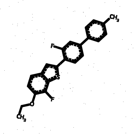 CCOc1ccc2cc(-c3ccc(-c4ccc(C)cc4)cc3F)sc2c1F